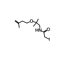 C=C(C)CCOC(C)(C)CNC(=O)CI